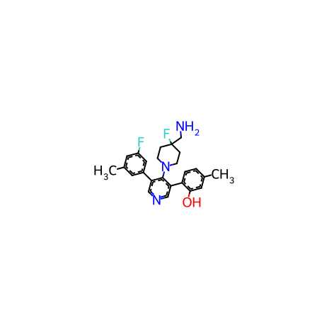 Cc1cc(F)cc(-c2cncc(-c3ccc(C)cc3O)c2N2CCC(F)(CN)CC2)c1